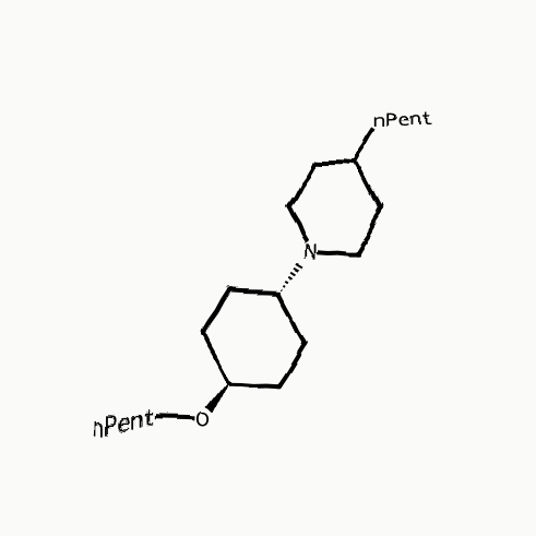 CCCCCO[C@H]1CC[C@H](N2CCC(CCCCC)CC2)CC1